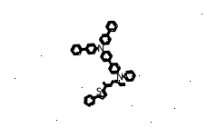 C=C/C(=C\C=C(/C)c1ccc(-c2ccccc2)s1)N(c1ccccc1)c1ccc(-c2ccc(N(c3ccc(-c4ccccc4)cc3)c3ccc(-c4ccccc4)cc3)cc2)cc1